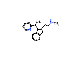 CNCCC1=C(C(C)c2ccccn2)c2ccccc2C1